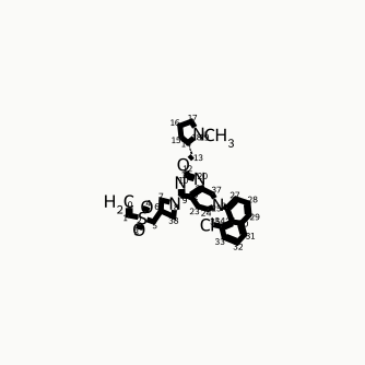 C=CS(=O)(=O)CC1CN(c2nc(OC[C@@H]3CCCN3C)nc3c2CCN(c2cccc4cccc(Cl)c24)C3)C1